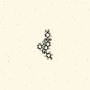 O=C(c1ccccn1)[C@]12Cc3cnn(-c4ccc(F)cc4)c3C=C1CC[C@H](S(=O)(=O)C1CCC(F)(F)CC1)C2